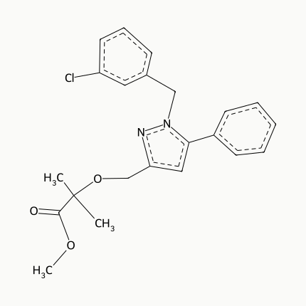 COC(=O)C(C)(C)OCc1cc(-c2ccccc2)n(Cc2cccc(Cl)c2)n1